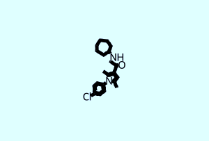 Cc1cc(C(=O)CNC2CCCCCC2)c(C)n1-c1ccc(Cl)cc1